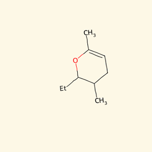 CCC1OC(C)=CCC1C